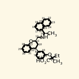 CCC(C)(Oc1cccc([C@@H]2C[C@H](CN[C@H](C)c3cccc4ccccc34)Oc3ccccc32)c1)C(=O)O